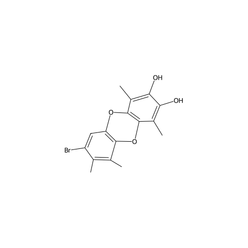 Cc1c(Br)cc2c(c1C)Oc1c(C)c(O)c(O)c(C)c1O2